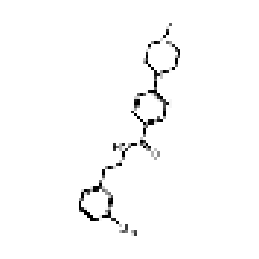 CN1CCN(c2ccc(C(=O)NCCc3cccc(C(F)(F)F)c3)cn2)CC1